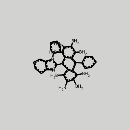 Bc1c(B)c(B)c2c(-c3nc4ccccc4n3-c3ccccc3)c3c(B)c(B)c(B)c(B)c3c(-c3ccccc3)c2c1B